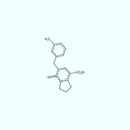 CCOC(=O)c1cc(Cc2cccc(C)c2)c(=O)n2c1CCC2